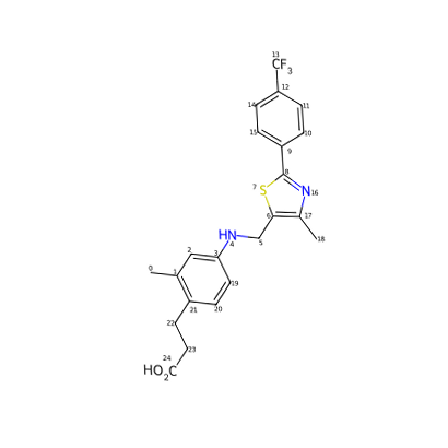 Cc1cc(NCc2sc(-c3ccc(C(F)(F)F)cc3)nc2C)ccc1CCC(=O)O